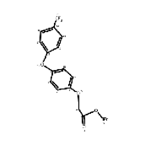 CC(C)OC(=O)COc1ccc(Oc2ccc(C(F)(F)F)cc2)cc1